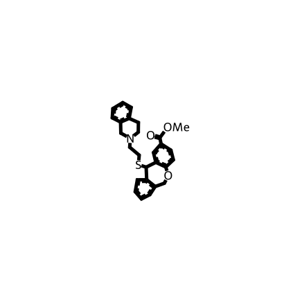 COC(=O)c1ccc2c(c1)C(SCCN1CCc3ccccc3C1)c1ccccc1CO2